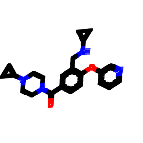 O=C(c1ccc(Oc2cccnc2)c(CNC2CC2)c1)N1CCN(C2CC2)CC1